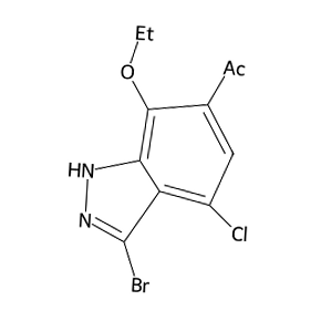 CCOc1c(C(C)=O)cc(Cl)c2c(Br)n[nH]c12